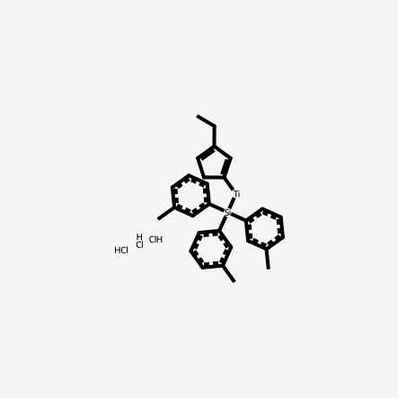 CCC1=CC[C]([Ti][Si](c2cccc(C)c2)(c2cccc(C)c2)c2cccc(C)c2)=C1.Cl.Cl.Cl